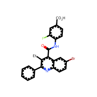 CCc1c(-c2ccccc2)nc2ccc(Br)cc2c1C(=O)Nc1ccc(C(=O)O)cc1F